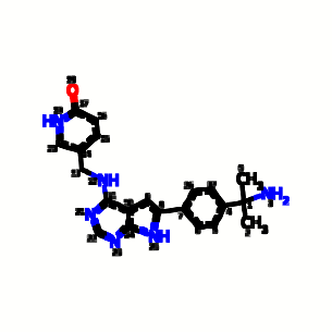 CC(C)(N)c1ccc(-c2cc3c(NCc4ccc(=O)[nH]c4)ncnc3[nH]2)cc1